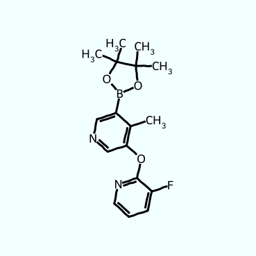 Cc1c(Oc2ncccc2F)cncc1B1OC(C)(C)C(C)(C)O1